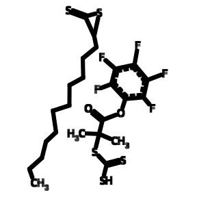 CC(C)(SC(=S)S)C(=O)Oc1c(F)c(F)c(F)c(F)c1F.CCCCCCCCCCCC1SC1=S